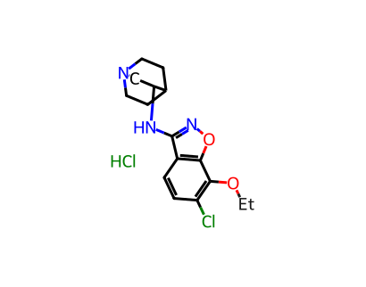 CCOc1c(Cl)ccc2c(NC3CN4CCC3CC4)noc12.Cl